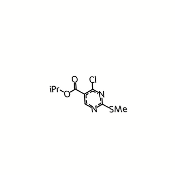 CSc1ncc(C(=O)OC(C)C)c(Cl)n1